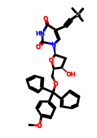 COc1ccc(C(OC[C@H]2O[C@@H](n3cc(C#C[Si](C)(C)C)c(=O)[nH]c3=O)C[C@@H]2O)(c2ccccc2)c2ccccc2)cc1